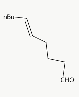 CCCCC=CCCC[C]=O